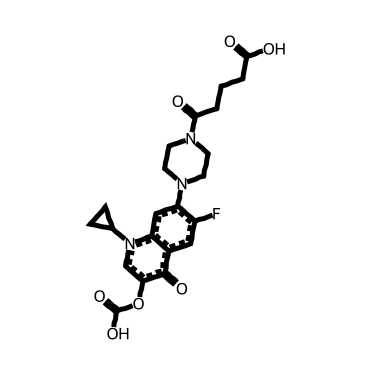 O=C(O)CCCC(=O)N1CCN(c2cc3c(cc2F)c(=O)c(OC(=O)O)cn3C2CC2)CC1